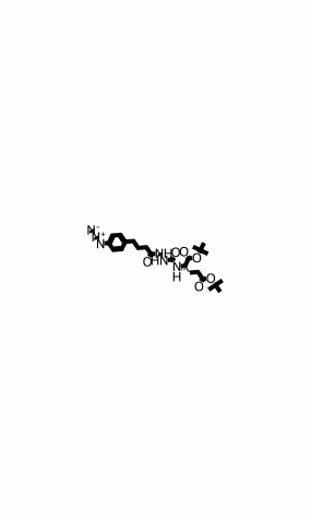 CC(C)(C)OC(=O)CC[C@H](NC(=O)NNC(=O)CCCc1ccc(N=[N+]=[N-])cc1)C(=O)OC(C)(C)C